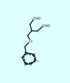 O=CCC(CC=O)COCc1ccccc1